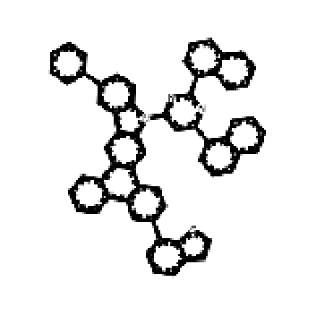 c1ccc(-c2ccc3c(c2)c2cc4c5ccccc5c5cc(-c6cccc7ccsc67)ccc5c4cc2n3-c2cc(-c3cccc4ccccc34)nc(-c3cccc4ccccc34)n2)cc1